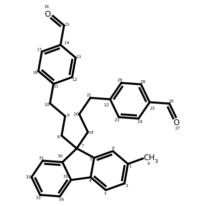 Cc1ccc2c(c1)C(CCCc1ccc(C=O)cc1)(CCCc1ccc(C=O)cc1)c1ccccc1-2